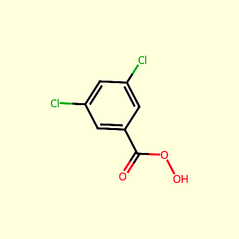 O=C(OO)c1cc(Cl)cc(Cl)c1